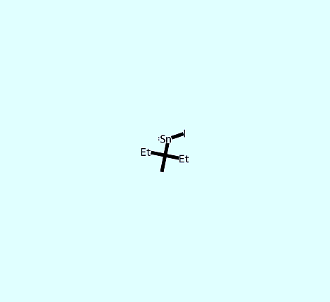 CC[C](C)(CC)[Sn][I]